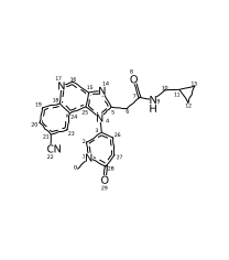 Cn1cc(-n2c(CC(=O)NCC3CC3)nc3cnc4ccc(C#N)cc4c32)ccc1=O